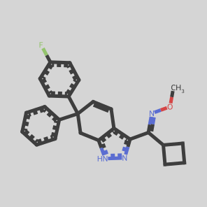 CON=C(c1n[nH]c2c1C=CC(c1ccccc1)(c1ccc(F)cc1)C2)C1CCC1